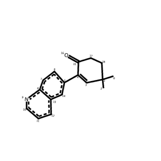 CC1(C)C=C(c2ccc3ncccc3c2)C(=O)CC1